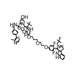 Cc1ncsc1-c1ccc([C@H](C)NC(=O)[C@@H]2C[C@@H](O)CN2C(=O)[C@@H](NC(=O)C(F)(F)OCCCOCCCOc2cc(F)c([C@@H]3c4[nH]c5ccccc5c4C[C@@H](C)N3CC(C)(C)F)c(F)c2)C(C)(C)C)cc1